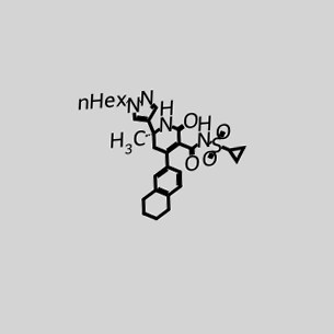 CCCCCCn1cc([C@]2(C)CC(c3ccc4c(c3)CCCC4)=C(C(=O)NS(=O)(=O)C3CC3)C(=O)N2)cn1